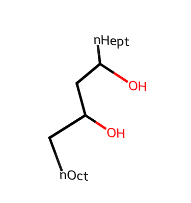 CCCCCCCCCC(O)CC(O)CCCCCCC